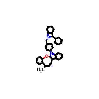 C=C1/C=C\c2c(n(-c3ccc(CN4c5ccccc5C4C4C=CC=CC4)cc3)c3ccccc23)Oc2ccccc21